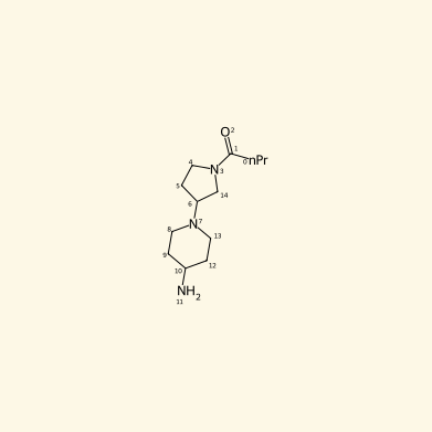 CCCC(=O)N1CCC(N2CCC(N)CC2)C1